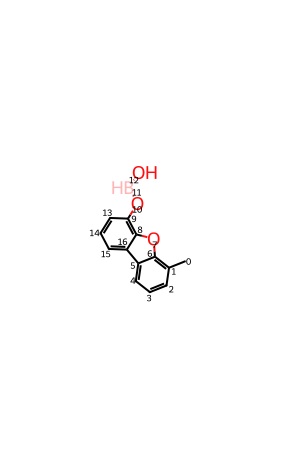 Cc1cccc2c1oc1c(OBO)cccc12